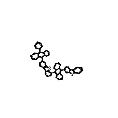 C1=CC2C(c3ccc4c(c3)sc3ccccc34)=c3ccccc3=C(c3cccc4c3sc3cc(-c5c6ccccc6c(-c6ccccc6)c6ccccc56)ccc34)C2C=C1